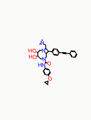 CN(C)CC1C(c2ccc(C#Cc3ccccc3)cc2)C2CN(C(=O)Nc3ccc(OC4CC4)cc3)CC(O)C(O)CN12